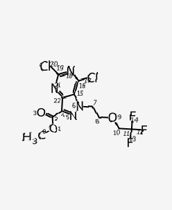 COC(=O)c1nn(CCOCC(F)(F)F)c2c(Cl)nc(Cl)nc12